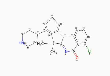 CC1(C)C2=NC(=O)c3c(Cl)cccc3C2c2cccc(C3CCNCC3)c21